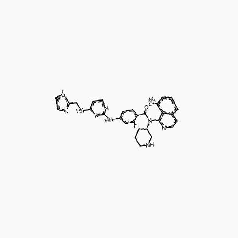 Cc1cccc2ccnc(N(C(=O)c3ccc(Nc4nccc(NCc5nccs5)n4)cc3F)[C@@H]3CCCNC3)c12